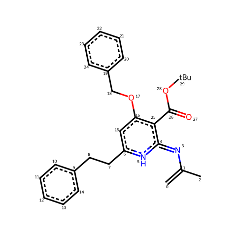 C=C(C)/N=c1\[nH]c(CCc2ccccc2)cc(OCc2ccccc2)c1C(=O)OC(C)(C)C